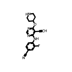 C#Cc1c(Nc2ccc(C#N)cc2F)ncnc1OC1CCNCC1